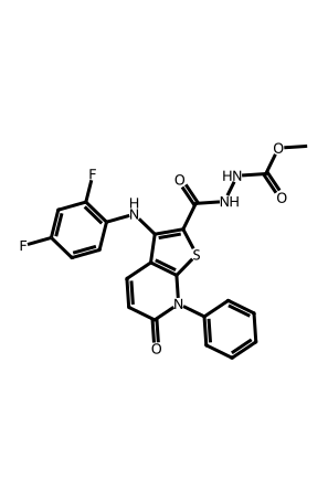 COC(=O)NNC(=O)c1sc2c(ccc(=O)n2-c2ccccc2)c1Nc1ccc(F)cc1F